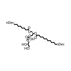 CCCCCCCCCCCCCCCCCCCCC(=O)O[C@H](COC(=O)CCCCCCCCCCCCCCCCC)COP(=O)(O)OC[C@@H](O)CO